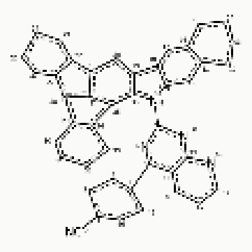 N#Cc1ccc(-c2nc(-n3c4cc5ccccc5cc4c4cc5c6ccccc6n6c7ccccc7c(c43)c56)nc3ncccc23)cc1